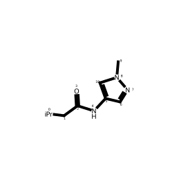 CC(C)CC(=O)Nc1cnn(C)c1